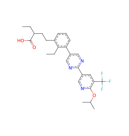 CCc1c(CCC(CC)C(=O)O)cccc1-c1cnc(-c2cnc(OC(C)C)c(C(F)(F)F)c2)nc1